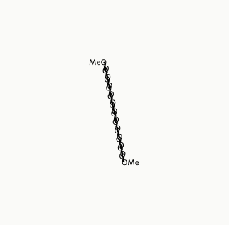 COCCOOCCOOCCOOCCOOCCOOCCOOCCOOCCOOCCOOCCOOCCOOCCOC